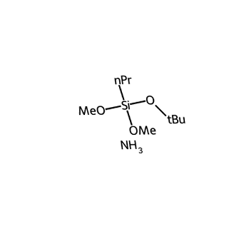 CCC[Si](OC)(OC)OC(C)(C)C.N